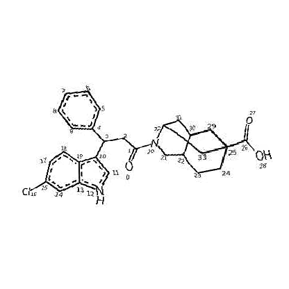 O=C(CC(c1ccccc1)c1c[nH]c2cc(Cl)ccc12)N1CC2CCC3(C(=O)O)CC2CC1C3